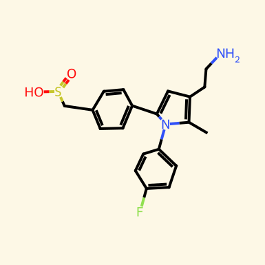 Cc1c(CCN)cc(-c2ccc(CS(=O)O)cc2)n1-c1ccc(F)cc1